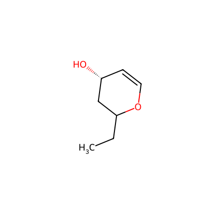 CCC1C[C@H](O)C=CO1